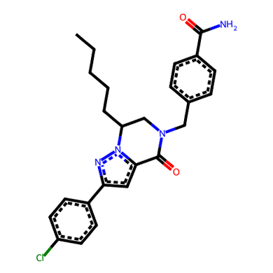 CCCCCC1CN(Cc2ccc(C(N)=O)cc2)C(=O)c2cc(-c3ccc(Cl)cc3)nn21